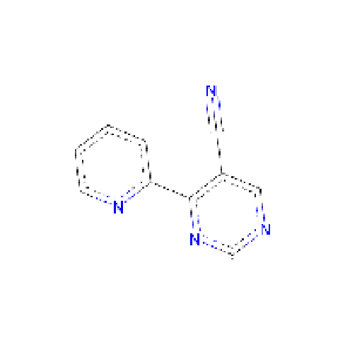 N#Cc1cn[c]nc1-c1ccccn1